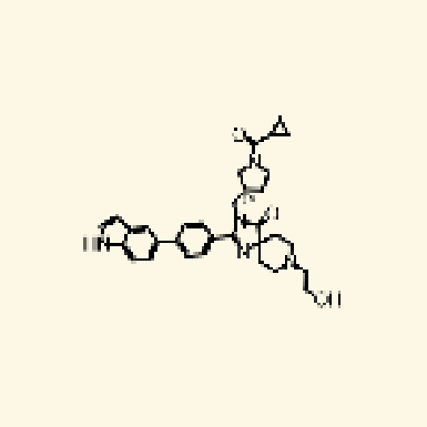 O=C(C1CC1)N1CC[C@@H](CN2C(=O)C3(CCN(CCO)CC3)N=C2c2ccc(-c3ccc4[nH]ccc4c3)cc2)C1